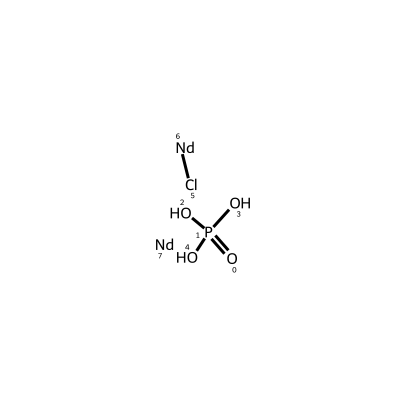 O=P(O)(O)O.[Cl][Nd].[Nd]